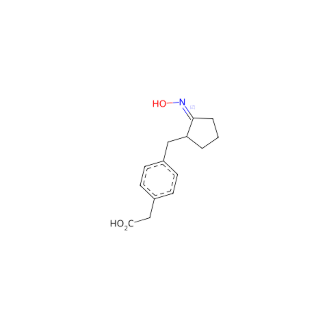 O=C(O)Cc1ccc(CC2CCC/C2=N/O)cc1